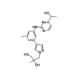 Cc1cc(Nc2nccc(C(C)O)n2)cc(-c2cnn(CC(C)(O)CO)c2)c1